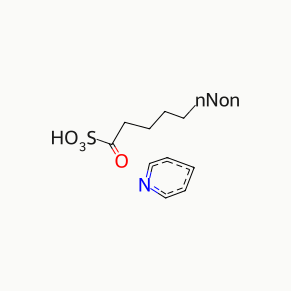 CCCCCCCCCCCCCC(=O)S(=O)(=O)O.c1ccncc1